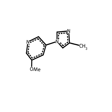 COc1cncc(-n2cnc(C)c2)c1